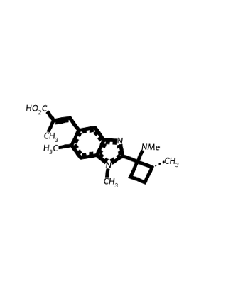 CNC1(c2nc3cc(/C=C(\C)C(=O)O)c(C)cc3n2C)CC[C@H]1C